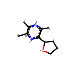 Cc1nc(C)c(C2CCCO2)nc1C